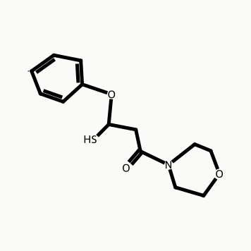 O=C(CC(S)Oc1cc[c]cc1)N1CCOCC1